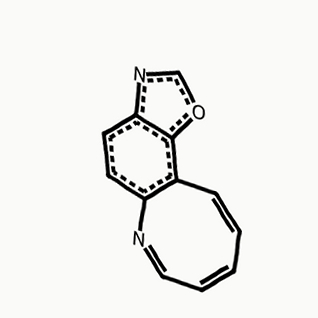 C1=CC=Nc2ccc3ncoc3c2C=C1